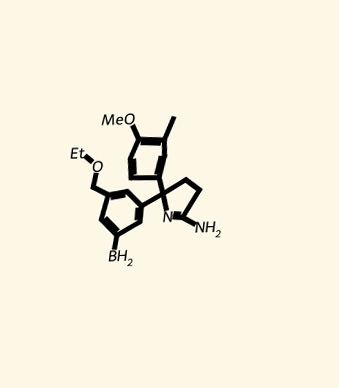 Bc1cc(COCC)cc(C2(c3ccc(OC)c(C)c3)CCC(N)=N2)c1